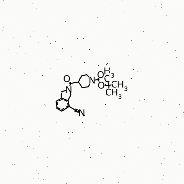 CC(C)(C)OC(=O)N1CCC(C(=O)N2Cc3cccc(C#N)c3C2)CC1